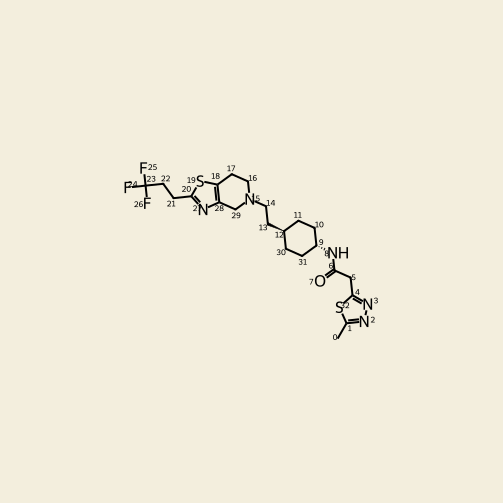 Cc1nnc(CC(=O)N[C@H]2CC[C@H](CCN3CCc4sc(CCC(F)(F)F)nc4C3)CC2)s1